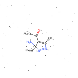 CCCCCC1(N)N=NC(C)=C1C(=O)OC